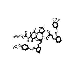 CCCCCOC(=O)NC1=NC(=O)N(C2O[C@H](C)[C@H](OC(=O)CCc3ccccc3/N=N/c3ccc(C(=O)O)cc3)[C@@H]2OC(=O)CCc2ccccc2/N=N/c2ccc(C(=O)O)cc2)CC1F